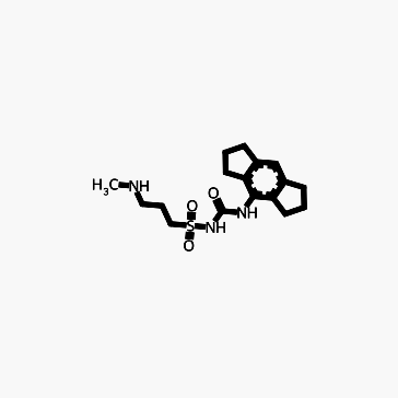 CNCCCS(=O)(=O)NC(=O)Nc1c2c(cc3c1CCC3)CCC2